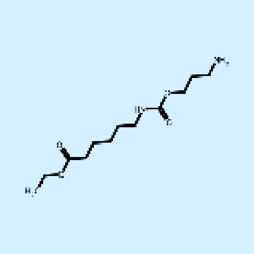 CCOC(=O)CCCCCNC(=O)OCCCN